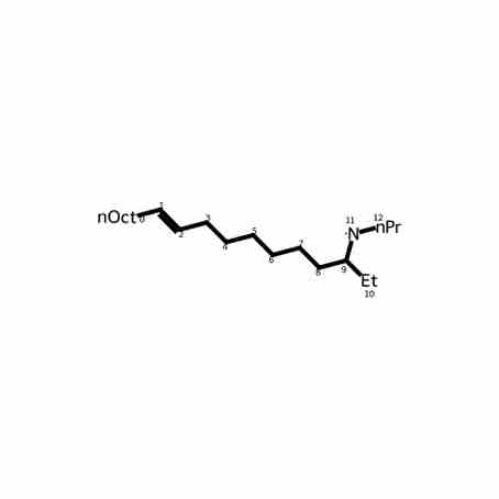 CCCCCCCC/C=C/CCCCCCC(CC)[N]CCC